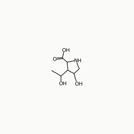 CC(O)C1C(O)CNC1C(=O)O